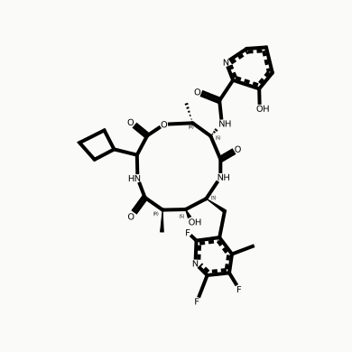 Cc1c(F)c(F)nc(F)c1C[C@@H]1NC(=O)[C@@H](NC(=O)c2ncccc2O)[C@@H](C)OC(=O)C(C2CCC2)NC(=O)[C@H](C)[C@@H]1O